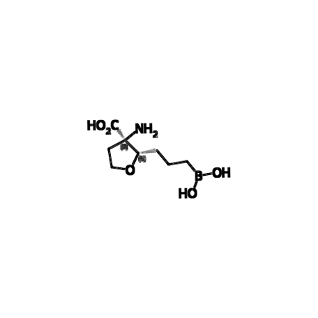 N[C@]1(C(=O)O)CCO[C@H]1CCCB(O)O